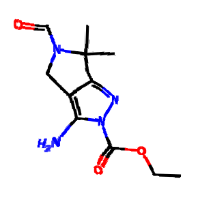 CCOC(=O)n1nc2c(c1N)CN(C=O)C2(C)C